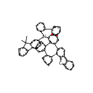 CC1(C)c2ccccc2-c2ccc(N(c3ccccc3-c3ccccc3)c3cccc4c3-c3ccccc3-c3ccccc3-c3c-4ccc4c3oc3ccccc34)cc21